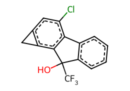 OC1(C(F)(F)F)c2ccccc2-c2c(Cl)cc3c(c21)C3